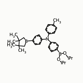 Cc1ccc(N(c2ccc(B3CC(C)(C)C(C)(C)C3)cc2)c2ccc(B(OC(C)C)OC(C)C)cc2)cc1